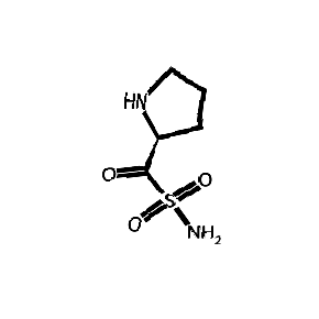 NS(=O)(=O)C(=O)[C@@H]1CCCN1